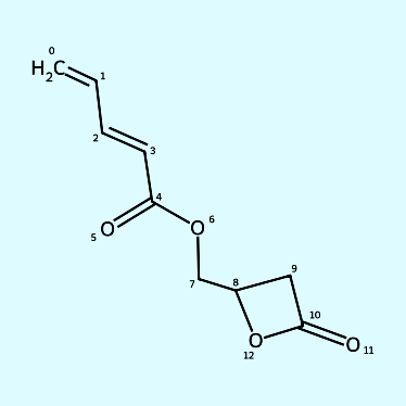 C=C/C=C/C(=O)OCC1CC(=O)O1